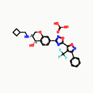 O=C(O)O.O[C@H]1c2ccc(-c3noc(-c4onc(-c5ccccc5)c4C(F)(F)F)n3)cc2OC[C@H]1NCC1CCC1